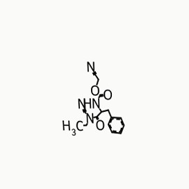 CCN(C#N)C(=O)C(Cc1ccccc1)NC(=O)OCC#N